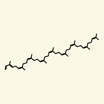 C=CC(C)=CCC=C(C)CCC=C(C)CCC=C(C)CCC=C(C)CCC=C(C)CCC=C(C)CCC=C(C)CCC=C(C)C